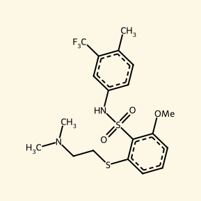 COc1cccc(SCCN(C)C)c1S(=O)(=O)Nc1ccc(C)c(C(F)(F)F)c1